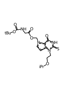 CC(C)OCCn1c(=S)[nH]c(=O)c2c1ccn2COC(=O)CNC(=O)OC(C)(C)C